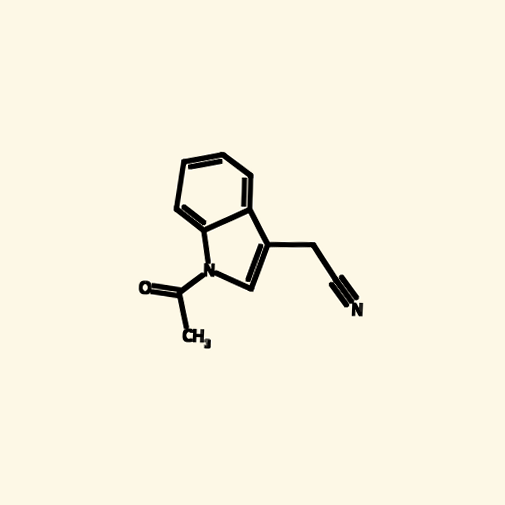 CC(=O)n1cc(CC#N)c2ccccc21